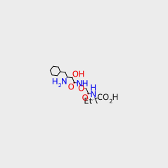 CC[C@](C)(NC(=O)CONC(=O)C(O)[C@H](N)CC1CCCCC1)C(=O)O